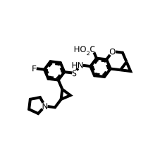 O=C(O)c1c(NSc2ccc(F)cc2C2CC2CN2CCCC2)ccc2c1OCC1CC21